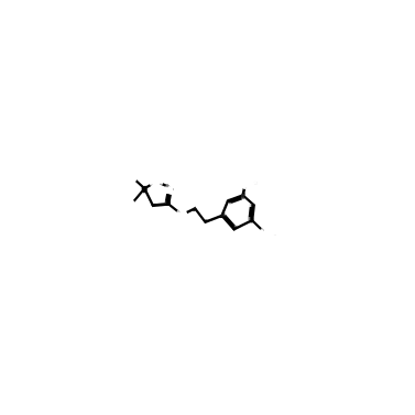 CC1(C)CC(SCCc2cc(C(C)(C)C)cc(C(C)(C)C)c2)=NO1